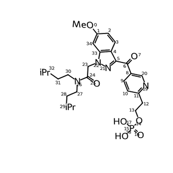 COc1ccc2c(C(=O)c3ccc(CCOP(=O)(O)O)nc3)nn(CC(=O)N(CCC(C)C)CCC(C)C)c2c1